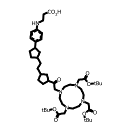 CC(C)(C)OC(=O)CN1CCN(CC(=O)OC(C)(C)C)CCN(CC(=O)C2CCC(CCC3CCC(c4ccc(NCCC(=O)O)cc4)C3)C2)CCN(CC(=O)OC(C)(C)C)CC1